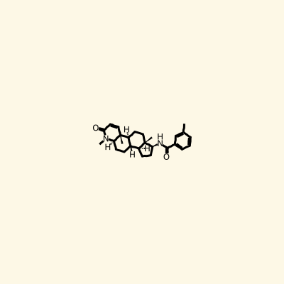 Cc1cccc(C(=O)N[C@H]2CC[C@H]3[C@@H]4CC[C@H]5N(C)C(=O)C=C[C@]5(C)[C@H]4CC[C@]23C)c1